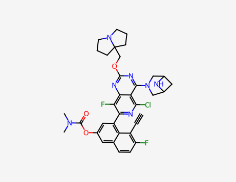 C#Cc1c(F)ccc2cc(OC(=O)N(C)C)cc(-c3nc(Cl)c4c(N5CC6CC(C5)N6)nc(OCC56CCCN5CCC6)nc4c3F)c12